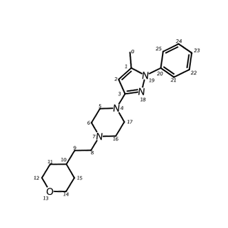 Cc1cc(N2CCN(CCC3CCOCC3)CC2)nn1-c1ccccc1